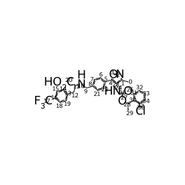 Cc1noc(-c2ccc(CNC(Cc3ccc(C(F)(F)F)cc3)C(=O)O)cc2)c1NC(=O)O[C@H](C)c1ccccc1Cl